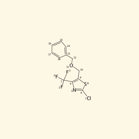 FC(F)(F)c1nc(Cl)sc1COCc1ccccc1